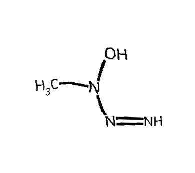 CN(O)N=N